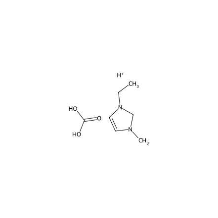 CCN1C=CN(C)C1.O=C(O)O.[H+]